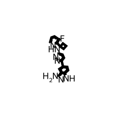 Nc1n[nH]c2ccc(-c3ccc(NC4(c5ncccc5F)CCC4)nn3)cc12